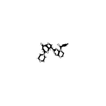 CC#CC(=O)N1CCOc2nnc(-c3csc4c(=O)cc(N5CCOCC5)oc34)nc21